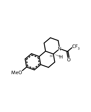 COc1ccc2c(c1)CC[C@H]1C2CCCN1C(=O)C(F)(F)F